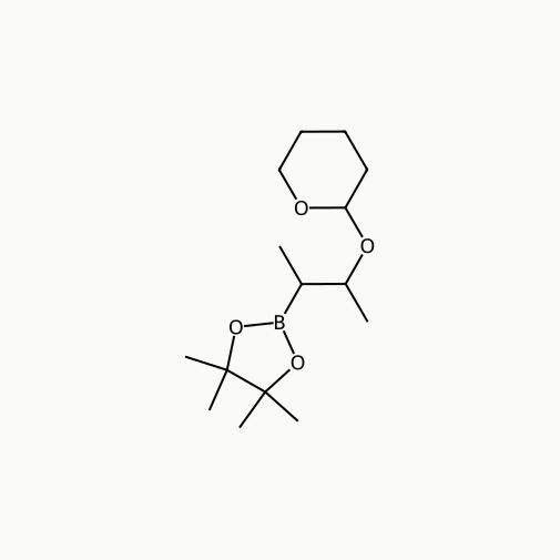 CC(OC1CCCCO1)C(C)B1OC(C)(C)C(C)(C)O1